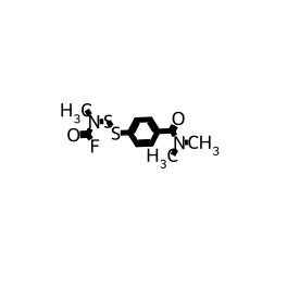 CN(C)C(=O)c1ccc(SSN(C)C(=O)F)cc1